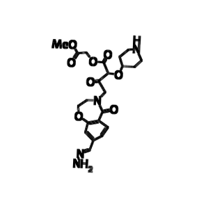 COC(=O)COC(=O)C(OC1CCNCC1)C(=O)CN1CCOc2cc(C=NN)ccc2C1=O